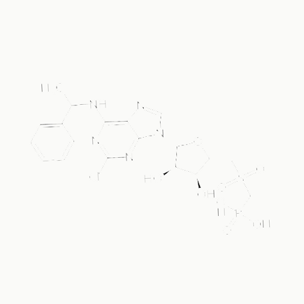 CC(Nc1nc(Cl)nc2c1ncn2[C@@H]1O[C@H](CS(=O)(=O)CP(=O)(O)O)[C@@H](O)[C@H]1O)c1ccccc1